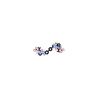 COC(=O)N[C@H](C(=O)N1CCC[C@H]1c1nc2ccc(-c3ccc(-c4cnc([C@@H]5[C@H]6CC[C@H](C6)N5C(=O)[C@@H](NC(=O)OC)C(C)C)[nH]4)cc3)cc2[nH]1)C(C)C